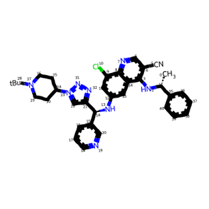 C[C@@H](Nc1c(C#N)cnc2c(Cl)cc(N[C@@H](c3cccnc3)c3cn(C4CCN(C(C)(C)C)CC4)nn3)cc12)c1ccccc1